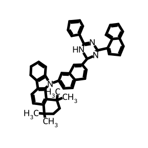 CC1(C)CCC(C)(C)c2c1ccc1c3c(n(-c4ccc5ccc(C6N=C(c7cccc8ccccc78)N=C(c7ccccc7)N6)cc5c4)c21)C=CCC3